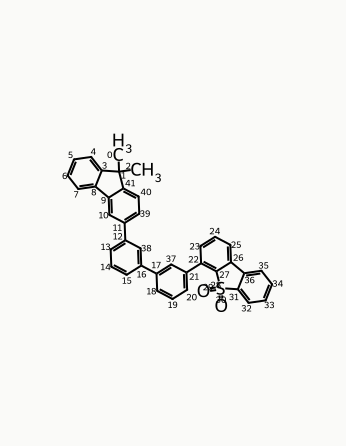 CC1(C)c2ccccc2-c2cc(-c3cccc(-c4cccc(-c5cccc6c5S(=O)(=O)c5ccccc5-6)c4)c3)ccc21